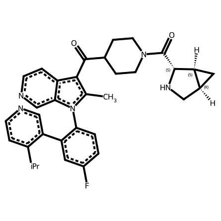 Cc1c(C(=O)C2CCN(C(=O)[C@H]3NC[C@@H]4C[C@@H]43)CC2)c2ccncc2n1-c1ccc(F)cc1-c1cnccc1C(C)C